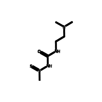 CN(C)CCNC(=O)NS(C)=S